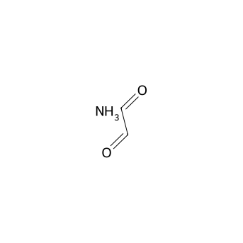 N.O=CC=O